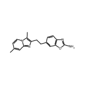 Cc1ccn2c(C)c(CCc3ccc4nc(N)oc4c3)nc2c1